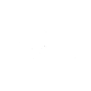 CCOP(=O)(CC)OCCC(C)(C)c1ccc(O)cc1O.O